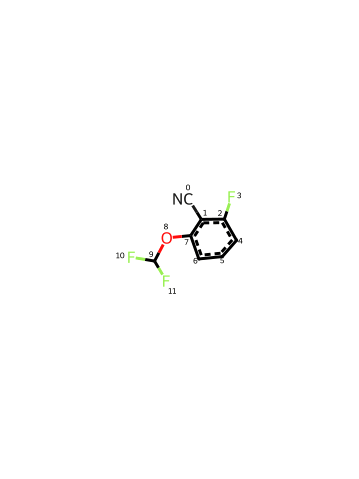 N#Cc1c(F)cccc1OC(F)F